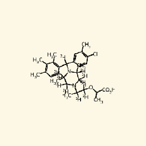 [2H]c1cc(C)c(C)c(C)c1C([2H])(c1ccc(Cl)c(C)c1)N1C([2H])(C)C([2H])([2H])N(C([2H])(C)C([2H])([2H])OC(C)C(=O)O)C([2H])([2H])C1([2H])C